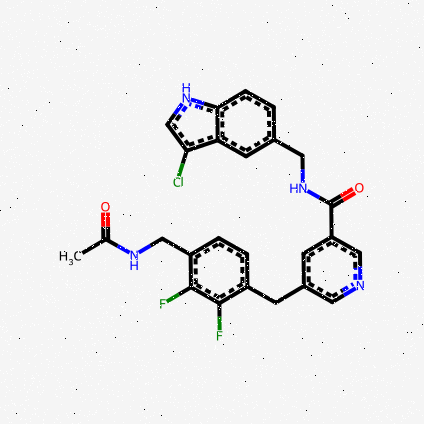 CC(=O)NCc1ccc(Cc2cncc(C(=O)NCc3ccc4[nH]cc(Cl)c4c3)c2)c(F)c1F